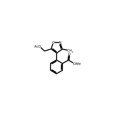 COC(=O)c1ccccc1-c1c(C)noc1COC(C)=O